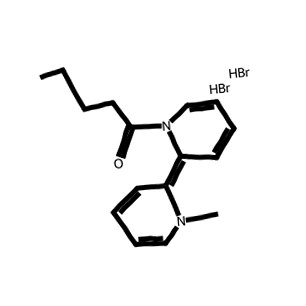 Br.Br.CCCCC(=O)N1C=CC=CC1=C1C=CC=CN1C